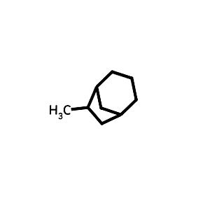 CC1CC2CCCC1C2